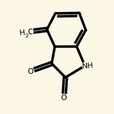 C=C1C=CC=C2NC(=O)C(=O)C12